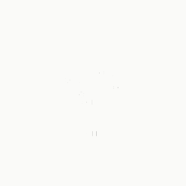 O=C1CCCCCO1.O=C1CCCCCO1.OCCO